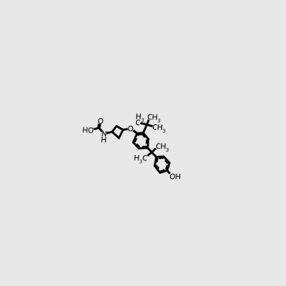 CC(C)(C)c1cc(C(C)(C)c2ccc(O)cc2)ccc1OC1CC(NC(=O)O)C1